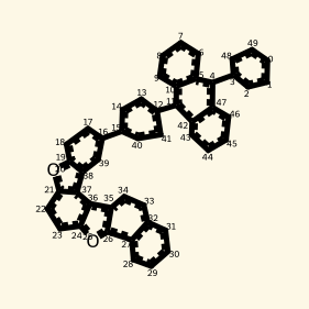 c1ccc(-c2c3ccccc3c(-c3ccc(-c4ccc5oc6ccc7oc8c9ccccc9ccc8c7c6c5c4)cc3)c3ccccc23)cc1